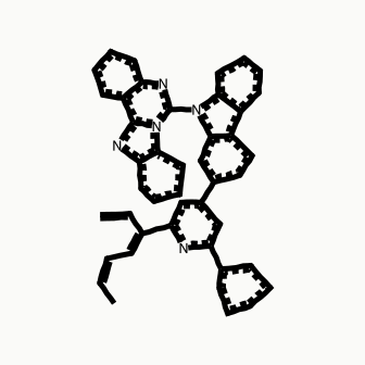 C=C/C(=C\C=C/C)c1cc(-c2ccc3c4ccccc4n(-c4nc5ccccc5c5nc6ccccc6n45)c3c2)cc(-c2ccccc2)n1